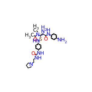 CCN(C(C)=O)/C(SNc1ccc(NC(=O)NCCN2CCCC2)cc1)=C(\N)C(=O)Nc1ccc(N)cc1